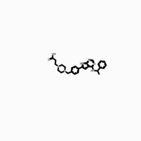 CC(Nc1ncnc2[nH]c(-c3ccc(CN4CCN(CCC(=O)O)CC4)cc3)cc12)c1ccccc1